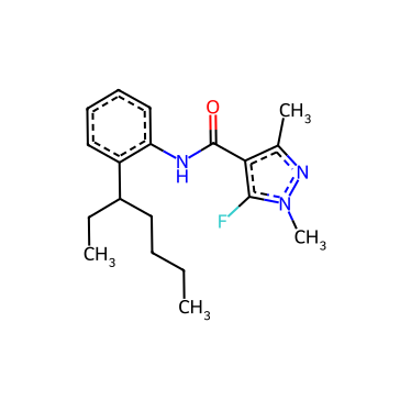 CCCCC(CC)c1ccccc1NC(=O)c1c(C)nn(C)c1F